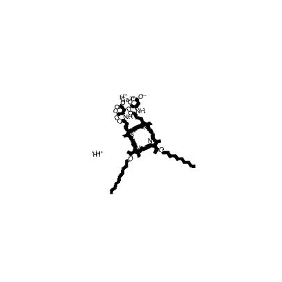 CCCCCCCCCCOC(C)C1=C(C)c2cc3[n-]c(cc4[n-]c(cc5nc(cc1n2)C(C)=C5C(C)OCCCCCCCCCC)c(C)c4CCC(=O)NC(CC(=O)[O-])C(=O)[O-])c(CCC(=O)NC(CC(=O)[O-])C(=O)[O-])c3C.[Ga+3].[H+].[H+].[H+]